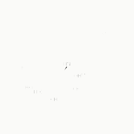 CC1(C)C[C@@](O)(C(F)(F)F)[C@H](NC(=O)c2ccc3occc3c2)c2ccc(F)c(O)c21